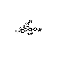 COc1ccc([C@H](CC(=O)O)NC(=O)NC2C(=O)C=CN(C)C2=O)cc1-c1ccc(OC(F)(F)F)cc1.[Na]